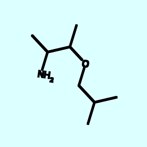 CC(C)COC(C)C(C)N